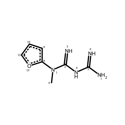 CN(C(=N)NC(=N)N)c1ccco1